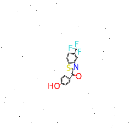 O=C(c1ccc(O)cc1)c1nc2cc(C(F)(F)F)ccc2s1